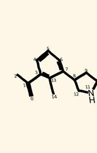 C=C(C)c1cccc(C2CCNC2)c1C